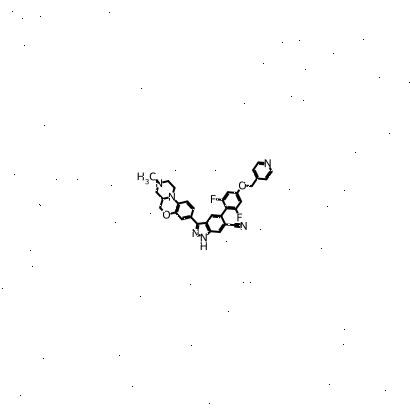 CN1CCN2c3ccc(-c4n[nH]c5cc(C#N)c(-c6c(F)cc(OCc7ccncc7)cc6F)cc45)cc3OCC2C1